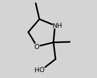 CC1COC(C)(CO)N1